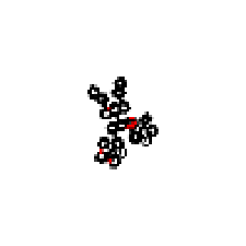 c1ccc(C2(c3ccccc3)c3ccccc3Oc3ccc(-c4cccc5c(-c6c7cccc(-c8ccc9ccccc9c8)c7cc7c(-c8ccc9ccccc9c8)cccc67)c6cccc(-c7cccc8c7C(c7ccccc7)(c7ccccc7)c7ccccc7O8)c6cc45)cc32)cc1